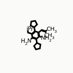 CC(C)=Cc1c(N)c(C2CCCC2)c(N)c(CC(C)C)c1C1CCCC1